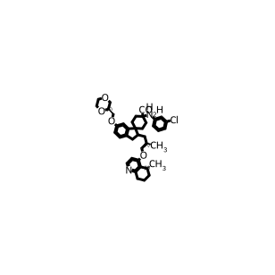 C[C@@H](COc1ccnc2c1[C@H](C)CCC2)CC1Cc2ccc(OC[C@@H]3COCCO3)cc2C12CCC(Nc1cccc(Cl)c1)(C(=O)O)CC2